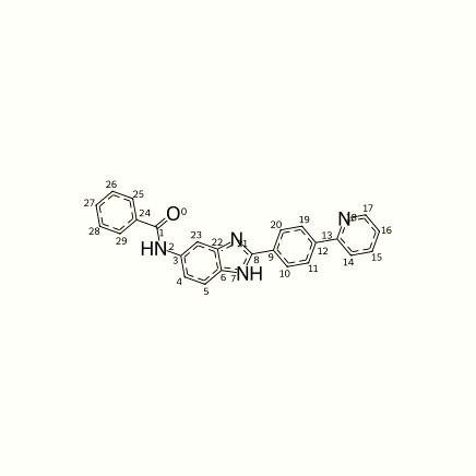 O=C(Nc1ccc2[nH]c(-c3ccc(-c4ccccn4)cc3)nc2c1)c1ccccc1